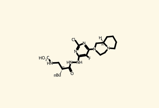 CCCC[C@H](CNC(=O)O)C(=O)NNc1nc(Cl)nc(N2CCN3CCCC[C@@H]3C2)c1F